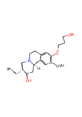 COc1cc2c(cc1OCCCO)CCN1C[C@@H](CC(C)C)C(O)C[C@H]21